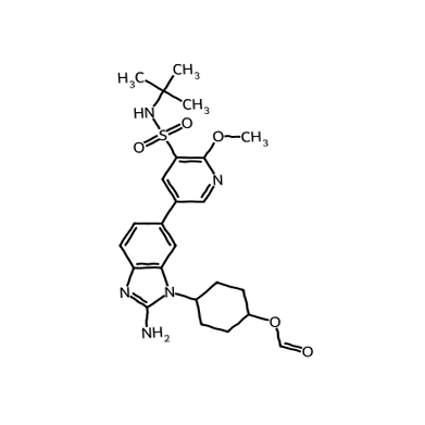 COc1ncc(-c2ccc3nc(N)n(C4CCC(OC=O)CC4)c3c2)cc1S(=O)(=O)NC(C)(C)C